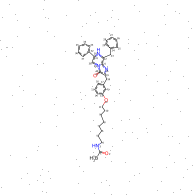 BC(=O)NCCCCCCCCOc1cccc(Cc2nc3c(Cc4ccccc4)[nH]c(-c4ccccc4)cn-3c2=O)c1